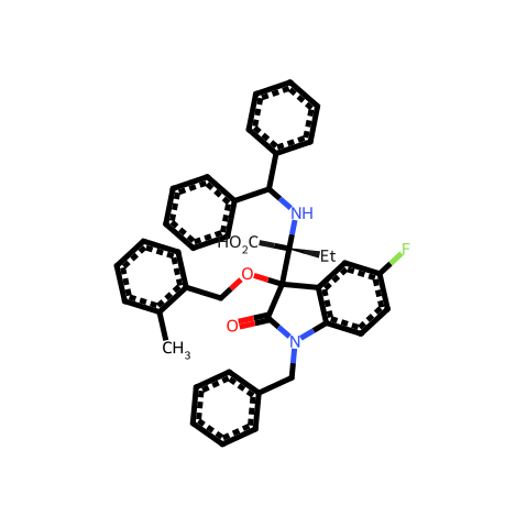 CC[C@](NC(c1ccccc1)c1ccccc1)(C(=O)O)C1(OCc2ccccc2C)C(=O)N(Cc2ccccc2)c2ccc(F)cc21